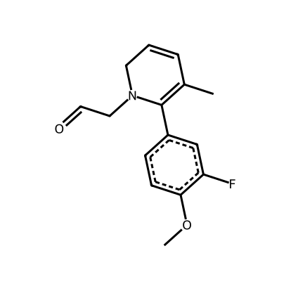 COc1ccc(C2=C(C)C=CCN2CC=O)cc1F